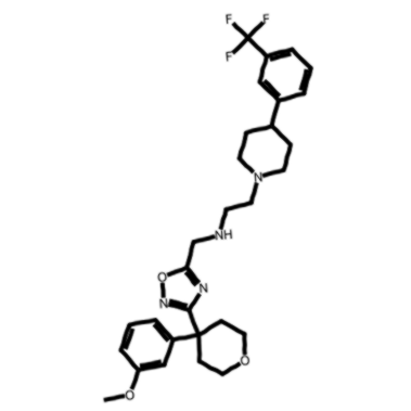 COc1cccc(C2(c3noc(CNCCN4CCC(c5cccc(C(F)(F)F)c5)CC4)n3)CCOCC2)c1